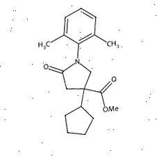 COC(=O)C1(C2CCCC2)CC(=O)N(c2c(C)cccc2C)C1